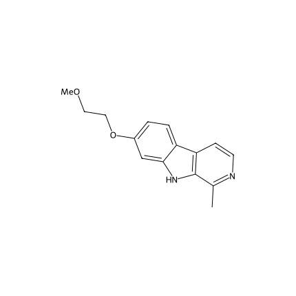 COCCOc1ccc2c(c1)[nH]c1c(C)nccc12